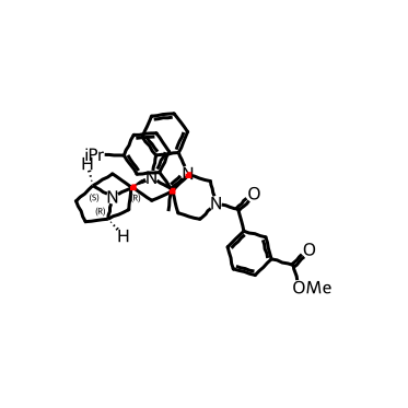 COC(=O)c1cccc(C(=O)N2CCC(CCN3[C@@H]4CC[C@H]3C[C@@H](n3c(C)nc5ccccc53)C4)(c3cccc(C(C)C)c3)CC2)c1